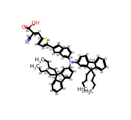 CCCCC1(CCCC)c2ccccc2-c2ccc(N(c3ccc4c(c3)CC(c3ccc(/C=C(\C#N)C(=O)O)s3)=C4)c3ccc4c(c3)C(CCCC)(CCCC)c3ccccc3-4)cc21